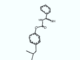 CC(C)Cc1ccc(OC(=O)NC(=N)c2cc[c]cc2)cc1